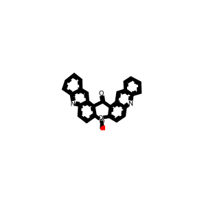 COc1ccc2nc3ccccc3cc2c1C(=O)c1c(OC)ccc2nc3ccccc3cc12